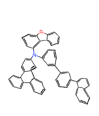 c1cc(-c2cccc(N(c3ccc4c5ccccc5c5ccccc5c4c3)c3cccc4oc5ccccc5c34)c2)cc(-c2cccc3ccccc23)c1